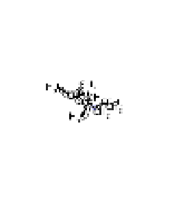 COCOc1ccc(-c2oc3cc(OCOC)c(C/C=C(/C)CC[C@@H]4OC4(C)C)c(O)c3c(=O)c2OCOC)cc1